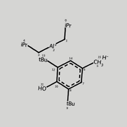 CC(C)[CH2][Al+][CH2]C(C)C.Cc1cc(C(C)(C)C)c(O)c(C(C)(C)C)c1.[H-]